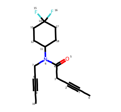 CC#CCC(=O)N(CC#CC)C1CCC(F)(F)CC1